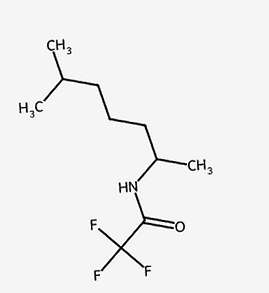 CC(C)CCCC(C)NC(=O)C(F)(F)F